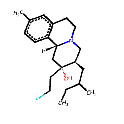 CCC(C)C[C@@H]1CN2CCc3cc(C)ccc3[C@H]2C[C@]1(O)CCF